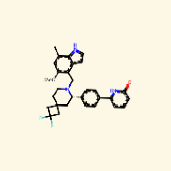 COc1cc(C)c2[nH]ccc2c1CN1CCC2(C[C@H]1c1ccc(-c3cccc(=O)[nH]3)cc1)CC(F)(F)C2